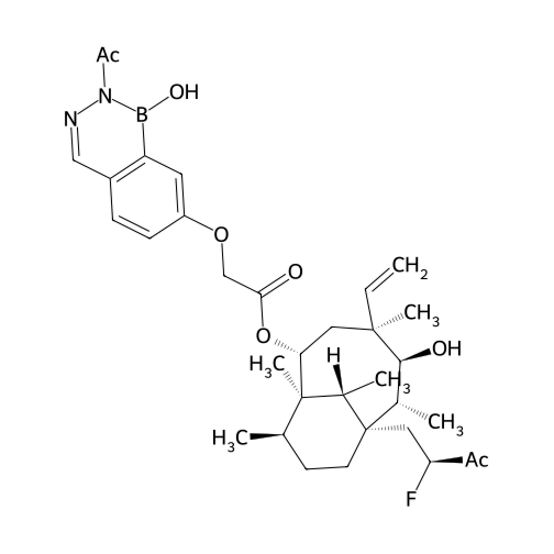 C=C[C@]1(C)C[C@@H](OC(=O)COc2ccc3c(c2)B(O)N(C(C)=O)N=C3)[C@]2(C)[C@H](C)CC[C@@](C[C@H](F)C(C)=O)([C@H]2C)[C@@H](C)[C@@H]1O